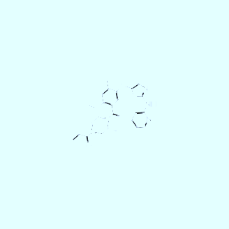 C=CC(=O)N1CCN(C(=O)c2cc(Sc3cnc(Nc4ccccn4)s3)c(C)cc2OC)[C@@H](C)C1